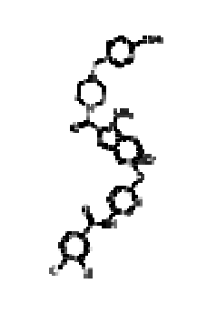 Br.COc1ccc(CN2CCN(C(=O)c3cc4cc(Oc5ccc(NC(=O)c6ccc(Cl)c(Cl)c6)cn5)ccc4n3C)CC2)cc1